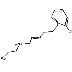 OCCNCC=CCCc1ccccc1Cl